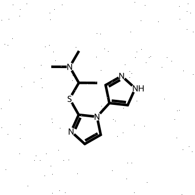 CC(Sc1nccn1-c1cn[nH]c1)N(C)C